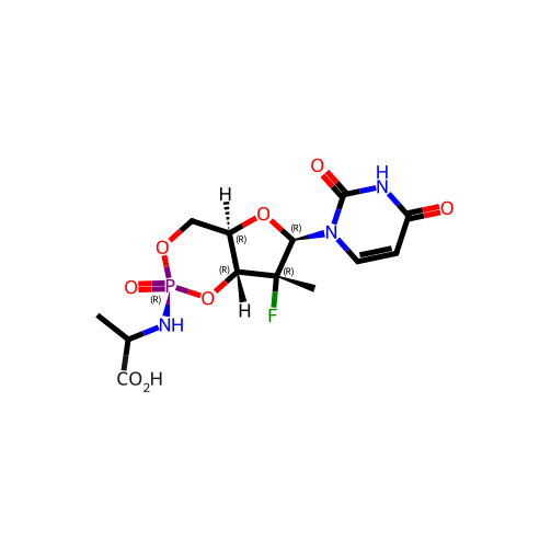 CC(N[P@@]1(=O)OC[C@H]2O[C@@H](n3ccc(=O)[nH]c3=O)[C@](C)(F)[C@@H]2O1)C(=O)O